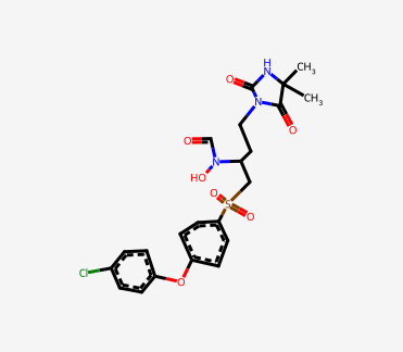 CC1(C)NC(=O)N(CCC(CS(=O)(=O)c2ccc(Oc3ccc(Cl)cc3)cc2)N(O)C=O)C1=O